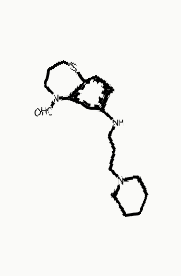 O=CN1CCSc2ccc(NCCCN3CCCCC3)cc21